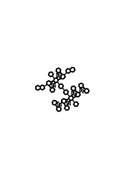 c1ccc(-c2c3c4ccc(-c5ccc6ccccc6c5)c5c6ccccc6n(c3c(-c3ccc(-c6ccc(-c7c8c9ccc(-n%10c%11ccccc%11c%11ccccc%11%10)c%10c%11ccccc%11n(c8c(-c8ccccc8)c8c%11ccc(-n%12c%13ccccc%13c%13ccccc%13%12)c%12c%13ccccc%13n(c78)c%11%12)c9%10)cc6)cc3)c3c6ccc(-c7ccc8ccccc8c7)c7c8ccccc8n(c23)c67)c45)cc1